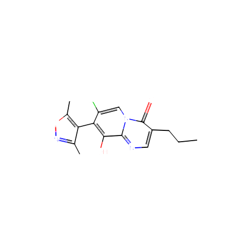 CCCc1cnc2c(O)c(-c3c(C)noc3C)c(Cl)cn2c1=O